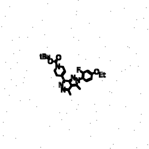 CCOc1ccc(-n2nc3c(C4=CCN(C(=O)OC(C)(C)C)CC4)nnc(C)c3c2C)c(F)c1